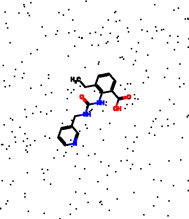 CCc1cccc(C(=O)O)c1NC(=O)NCc1cccnc1